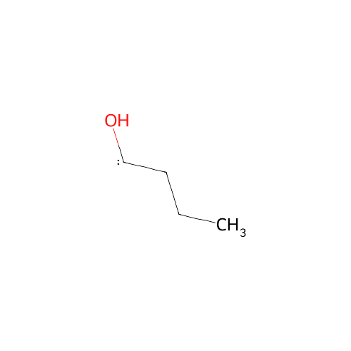 CCC[C]O